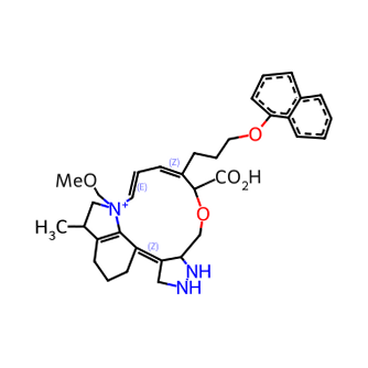 COC[N+]12/C=C/C=C(/CCCOc3cccc4ccccc34)C(C(=O)O)OCC3NNC/C3=C3\CCCC(=C31)C(C)C2